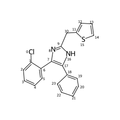 Clc1ccccc1-c1nc(Cc2cccs2)[nH]c1-c1ccccc1